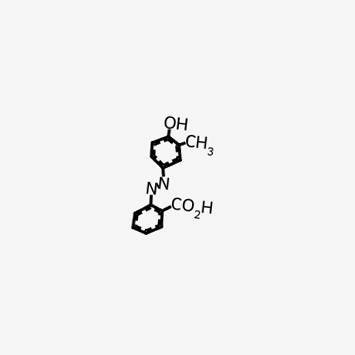 Cc1cc(N=Nc2ccccc2C(=O)O)ccc1O